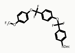 CCCCCCCCCCc1ccc(C(F)(F)Oc2ccc(C(F)(F)Oc3ccc(OC(F)(F)F)cc3)cc2)cc1